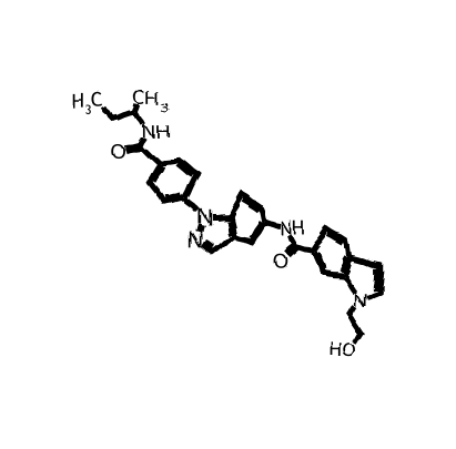 CCC(C)NC(=O)c1ccc(-n2ncc3cc(NC(=O)c4ccc5ccn(CCO)c5c4)ccc32)cc1